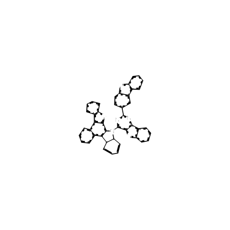 C1=CC2c3c(c4sc5ccccc5c4c4ccccc34)N(c3nc(-c4ccc5oc6ccccc6c5c4)nc4c3oc3ccccc34)C2C=C1